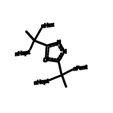 CCCCCCCC(C)(CCCCC)c1nnc(C(C)(CCCCCC)CCCCCCC)o1